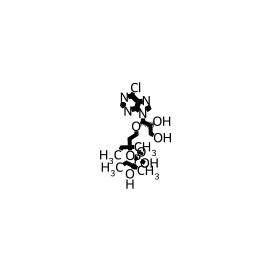 CCC(C)(CCO[C@H]([C@H](O)CO)n1cnc2c(Cl)ncnc21)OP(=O)(O)C(C)(O)CC